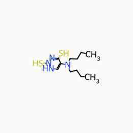 CCCCN(CCCC)C1=CNN(S)N=C1S